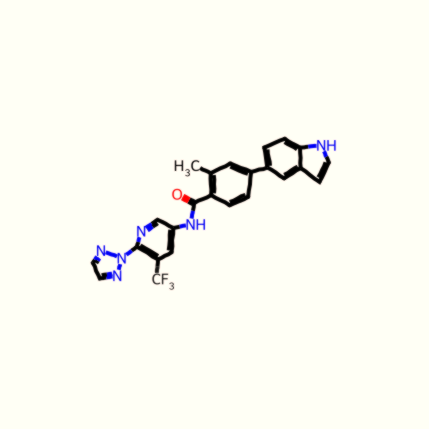 Cc1cc(-c2ccc3[nH]ccc3c2)ccc1C(=O)Nc1cnc(-n2nccn2)c(C(F)(F)F)c1